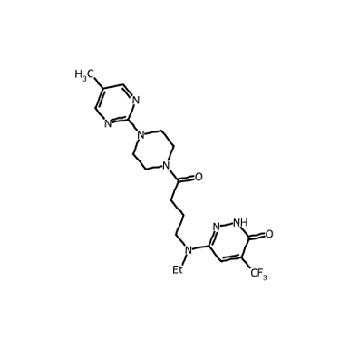 CCN(CCCC(=O)N1CCN(c2ncc(C)cn2)CC1)c1cc(C(F)(F)F)c(=O)[nH]n1